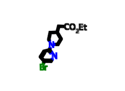 CCOC(=O)CC1CCN(c2ccc(Br)cn2)CC1